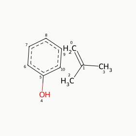 C=C(C)C.Oc1ccccc1